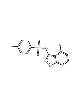 Cc1ccc(S(=O)(=O)Nc2noc3cccc(Cl)c23)cc1